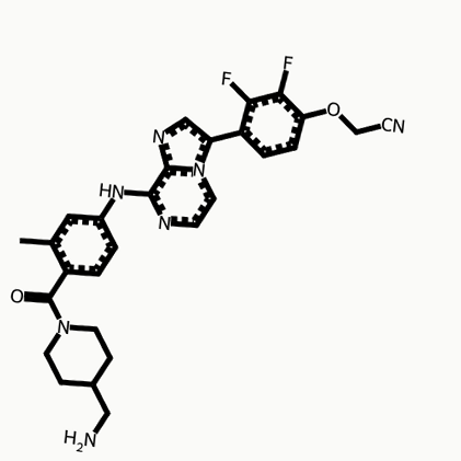 Cc1cc(Nc2nccn3c(-c4ccc(OCC#N)c(F)c4F)cnc23)ccc1C(=O)N1CCC(CN)CC1